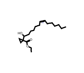 CCCCCC/C=C\CCCCCC(O)C1(C(=O)OCC)CC1